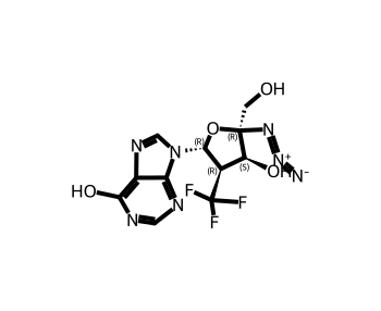 [N-]=[N+]=N[C@]1(CO)O[C@@H](n2cnc3c(O)ncnc32)[C@H](C(F)(F)F)[C@@H]1O